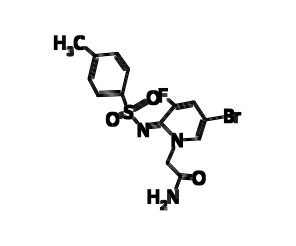 Cc1ccc(S(=O)(=O)/N=c2\c(F)cc(Br)cn2CC(N)=O)cc1